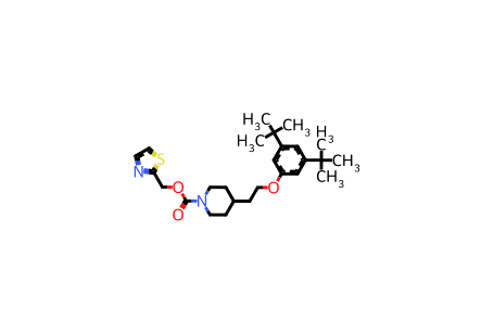 CC(C)(C)c1cc(OCCC2CCN(C(=O)OCc3nccs3)CC2)cc(C(C)(C)C)c1